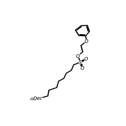 CCCCCCCCCCCCCCCCCCS(=O)(=O)OCCOc1ccccc1